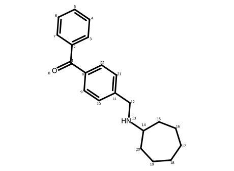 O=C(c1ccccc1)c1ccc(CNC2CCCCCC2)cc1